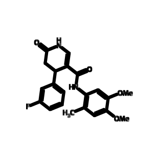 COc1cc(C)c(NC(=O)C2=CNC(=O)CC2c2cccc(F)c2)cc1OC